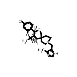 Cc1nc[nH]c1CN1CCC2(CC1)CO[C@H]1c3ccc(Cl)cc3OC(C)(C)[C@@H]1C2